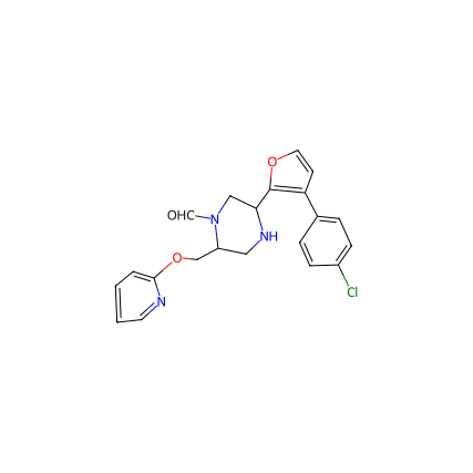 O=CN1CC(c2occc2-c2ccc(Cl)cc2)NCC1COc1ccccn1